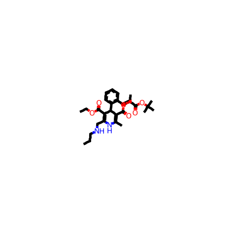 CCCNCC1=C(C(=O)OCC)C(c2ccccc2/C=C/C(=O)OC(C)(C)C)C(C(=O)OCC)=C(C)N1